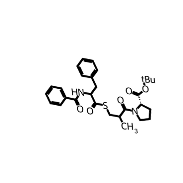 CC(CSC(=O)C(Cc1ccccc1)NC(=O)c1ccccc1)C(=O)N1CCC[C@H]1C(=O)OC(C)(C)C